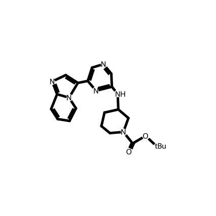 CC(C)(C)OC(=O)N1CCCC(Nc2cncc(-c3cnc4ccccn34)n2)C1